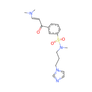 CN(C)C=CC(=O)c1cccc(S(=O)(=O)N(C)CCCn2ccnc2)c1